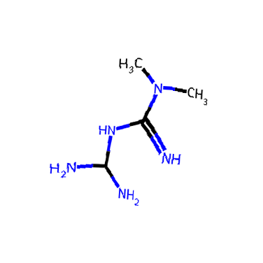 CN(C)C(=N)NC(N)N